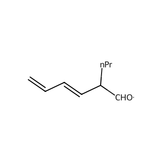 C=CC=CC([C]=O)CCC